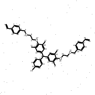 C=Cc1ccc(COCCOc2c(C)cc(C(c3ccc(I)cc3)c3cc(C)c(OCCOCc4ccc(C=C)cc4)c(C)c3)cc2C)cc1